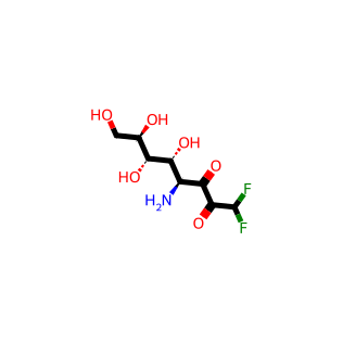 N[C@H](C(=O)C(=O)C(F)F)[C@@H](O)[C@H](O)[C@H](O)CO